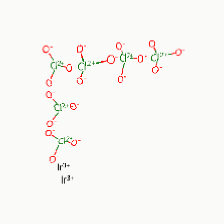 [Ir+3].[Ir+3].[O-][Cl+2]([O-])[O-].[O-][Cl+2]([O-])[O-].[O-][Cl+2]([O-])[O-].[O-][Cl+2]([O-])[O-].[O-][Cl+2]([O-])[O-].[O-][Cl+2]([O-])[O-]